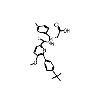 COc1ccc(C(=O)N[C@@H](CC(=O)O)c2ccc(C)cc2)nc1-c1ccc(C(C)(C)C)cc1